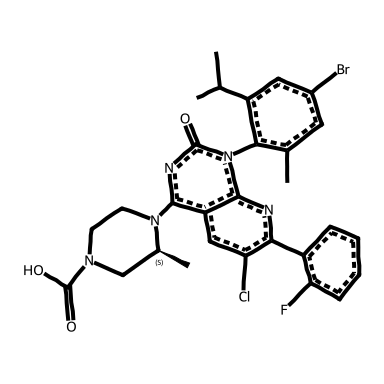 Cc1cc(Br)cc(C(C)C)c1-n1c(=O)nc(N2CCN(C(=O)O)C[C@@H]2C)c2cc(Cl)c(-c3ccccc3F)nc21